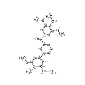 COc1cc(-c2cccc(C(=O)c3cc(OC)c(OC)c(OC)c3)c2)cc(OC)c1C